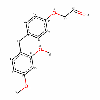 COc1ccc(Cc2ccc(OC[C]=O)cc2)c(OC)c1